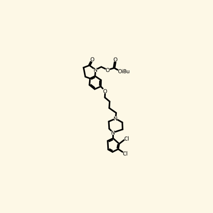 CC(C)COC(=O)OCN1C(=O)CCc2ccc(OCCCCN3CCN(c4cccc(Cl)c4Cl)CC3)cc21